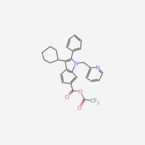 O=C(OC(=O)C(F)(F)F)c1ccc2c(C3CCCCC3)c(-c3ccccc3)n(Cc3ccccn3)c2c1